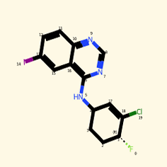 F[C@@H]1CCC(Nc2ncnc3ccc(I)cc23)C=C1Cl